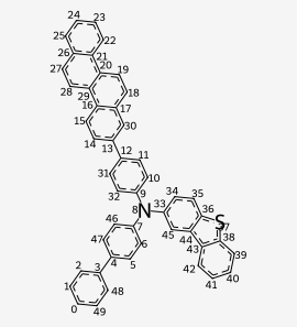 c1ccc(-c2ccc(N(c3ccc(-c4ccc5c(ccc6c7ccccc7ccc56)c4)cc3)c3ccc4sc5ccccc5c4c3)cc2)cc1